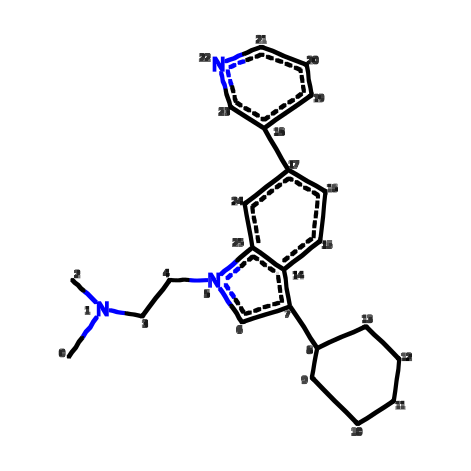 CN(C)CCn1cc(C2CCCCC2)c2ccc(-c3cccnc3)cc21